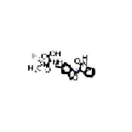 COC(=O)[C@@H](NCc1ccc2c(c1)CO/C2=C1/C(=O)Nc2ccccc21)[C@@H](C)O